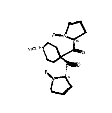 Cl.O=C([C@@H]1CCCN1F)C1(C(=O)[C@@H]2CCCN2F)CCNCC1